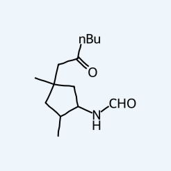 CCCCC(=O)CC1(C)CC(C)C(NC=O)C1